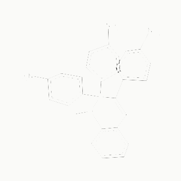 C[O+]1c2ccccc2C=C(c2ccc([N+](=O)[O-])cc2)[B-]1(c1ccc([N+](=O)[O-])cc1)c1ccc([N+](=O)[O-])cc1